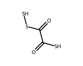 O=C(S)C(=O)SS